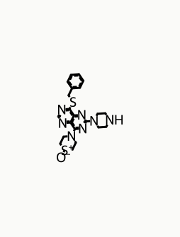 [O-][S+]1CCN(c2nc(N3CCNCC3)nc3c(SCc4ccccc4)ncnc23)CC1